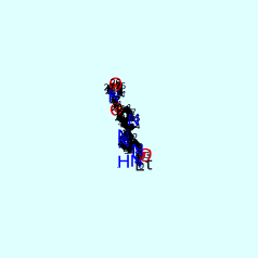 CCNC(=O)N1CCC2(CCn3nc(-c4cnc5ccc(OCCN6CCOCC6)cc5c4)cc32)C1